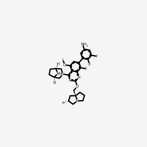 Nc1cc(F)c(F)c(-c2cc(OI)c3c(N4C[C@H]5CC[C@@H](C4)N5)nc(OC[C@@]45CCCN4C[C@H](F)C5)nc3c2F)c1